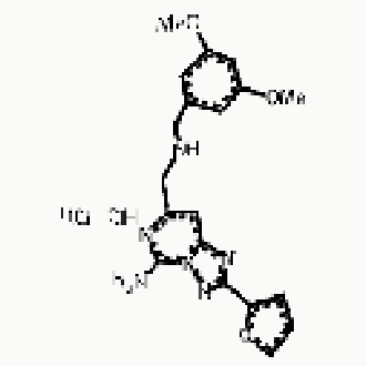 COc1cc(CNCc2cc3nc(-c4ccco4)nn3c(N)n2)cc(OC)c1.Cl.Cl